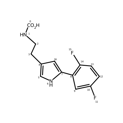 O=C(O)NCCc1c[nH]c(-c2cc(F)ccc2F)c1